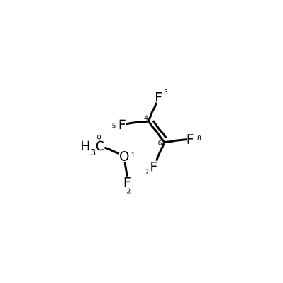 COF.FC(F)=C(F)F